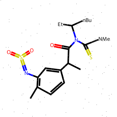 CCCCC(CC)N(C(=O)C(C)c1ccc(C)c(N=S(=O)=O)c1)C(=S)NC